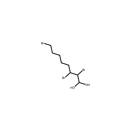 OC(O)C(Br)C(Br)CCCCCBr